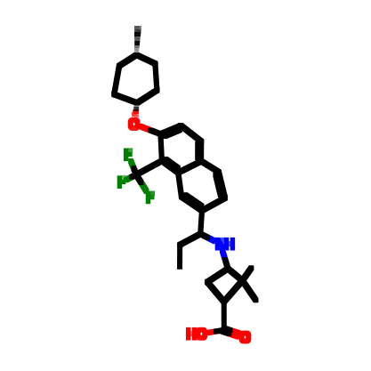 CCC(NC1CC(C(=O)O)C1(C)C)c1ccc2ccc(O[C@H]3CC[C@@H](C)CC3)c(C(F)(F)F)c2c1